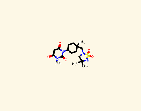 CCCCN1C(=O)CC(=O)N(C2CCC(C)(CN3CC(C)(C)NS3(=O)=O)CC2)C1=O